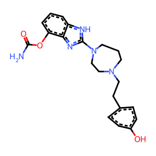 NC(=O)Oc1cccc2[nH]c(N3CCCN(CCc4ccc(O)cc4)CC3)nc12